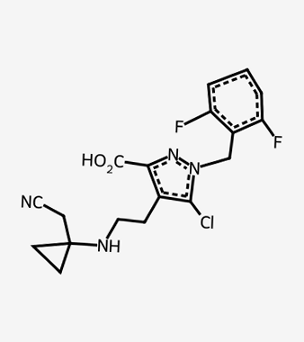 N#CCC1(NCCc2c(C(=O)O)nn(Cc3c(F)cccc3F)c2Cl)CC1